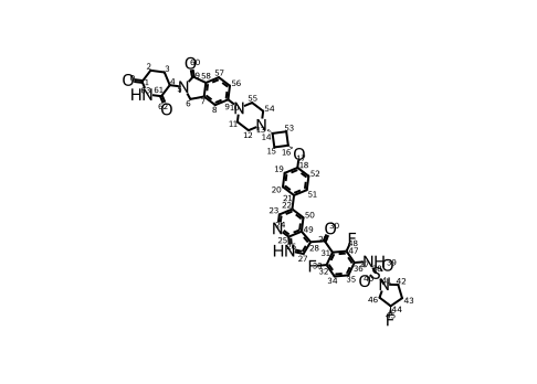 O=C1CCC(N2Cc3cc(N4CCN([C@H]5C[C@@H](Oc6ccc(-c7cnc8[nH]cc(C(=O)c9c(F)ccc(NS(=O)(=O)N%10CC[C@@H](F)C%10)c9F)c8c7)cc6)C5)CC4)ccc3C2=O)C(=O)N1